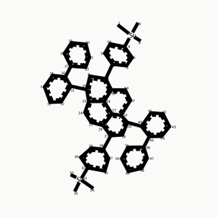 C[Si](C)(C)c1ccc(-c2cc(-c3ccccc3-c3ccccc3)c3ccc4c(-c5ccc([Si](C)(C)C)cc5)cc(-c5ccccc5-c5ccccc5)c5ccc2c3c45)cc1